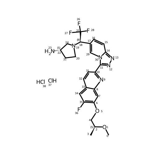 CO[C@@H](C)COc1cc2nc(-c3nnc4ccc([C@@H](N5CC[C@H](N)C5)C(F)(F)F)cn34)ccc2cc1F.Cl.Cl